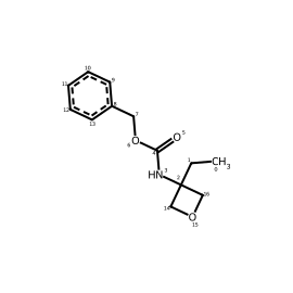 CCC1(NC(=O)OCc2ccccc2)COC1